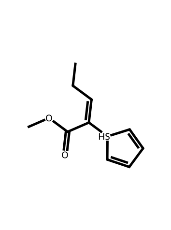 CCC=C(C(=O)OC)[SH]1C=CC=C1